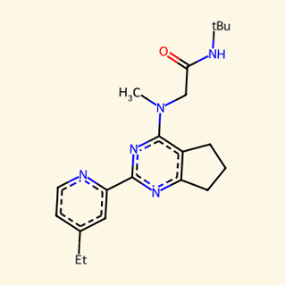 CCc1ccnc(-c2nc3c(c(N(C)CC(=O)NC(C)(C)C)n2)CCC3)c1